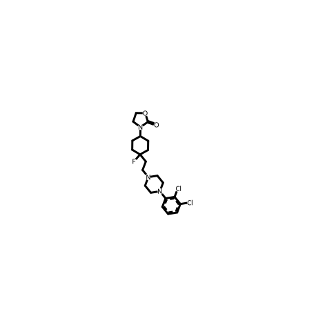 O=C1OCCN1C1CCC(F)(CCN2CCN(c3cccc(Cl)c3Cl)CC2)CC1